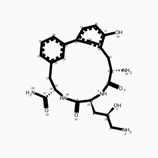 NC[C@H](O)C[C@@H]1NC(=O)[C@@H](N)Cc2cc(ccc2O)-c2cccc(c2)C[C@@H](C(N)=O)NC1=O